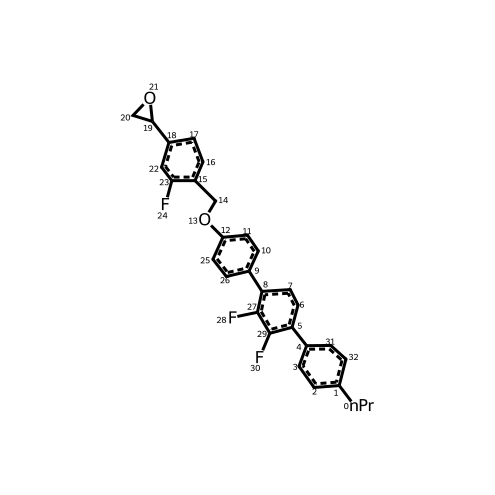 CCCc1ccc(-c2ccc(-c3ccc(OCc4ccc(C5CO5)cc4F)cc3)c(F)c2F)cc1